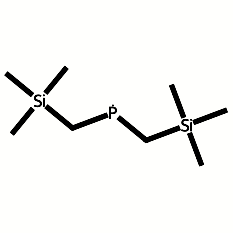 C[Si](C)(C)C[P]C[Si](C)(C)C